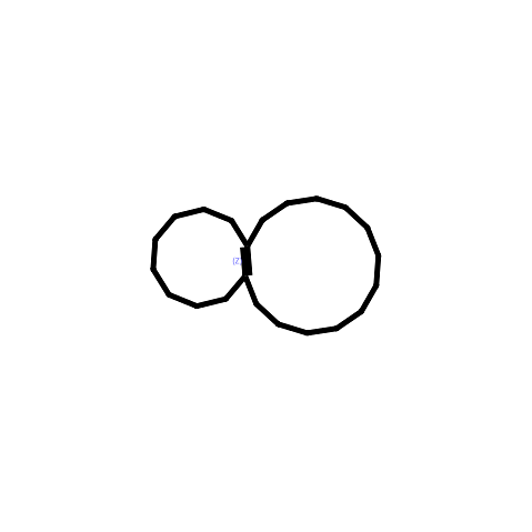 C1CCCCCC/C2=C(\CCCCC1)CCCCCCCC2